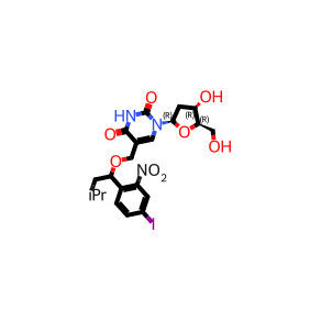 CC(C)CC(OCc1cn([C@H]2C[C@@H](O)[C@@H](CO)O2)c(=O)[nH]c1=O)c1ccc(I)cc1[N+](=O)[O-]